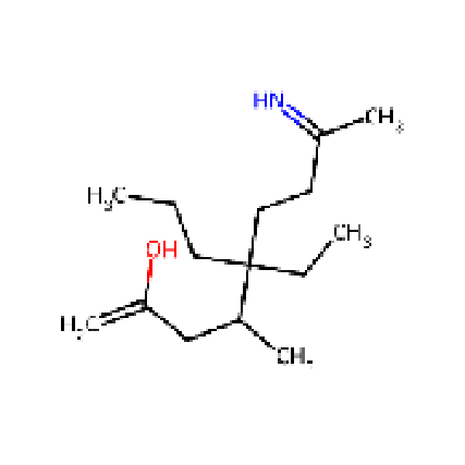 C=C(O)CC(C)C(CC)(CCC)CCC(C)=N